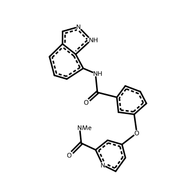 CNC(=O)c1cc(Oc2cccc(C(=O)Nc3cccc4cn[nH]c34)c2)ccn1